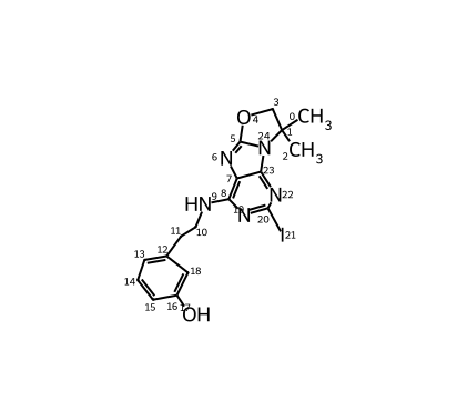 CC1(C)COc2nc3c(NCCc4cccc(O)c4)nc(I)nc3n21